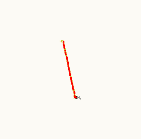 CCC(=S)SSSSSSSSSSSSSSSSSSSSSSSSSSSSSSSSSSSSSSSSSSSSSSSSSSSSSSSSSSSSSSSSSSSSSSSSSSSS